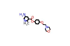 Cc1ncc(N)cc1C(=O)Oc1ccc(OCCN2CCOCC2)cc1